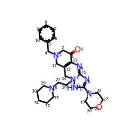 O=C1CN(Cc2ccccc2)CC2=C1N=C1N=C(N3CCOCC3)N[N+]1(CCN1CCCCC1)C2